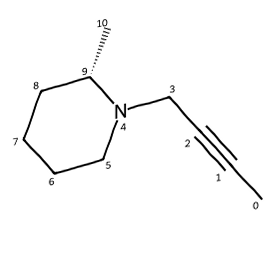 CC#CCN1CCCC[C@@H]1C